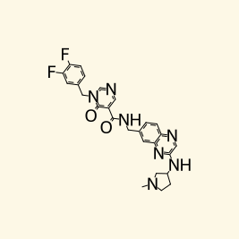 CN1CCC(Nc2cnc3ccc(CNC(=O)c4cncn(Cc5ccc(F)c(F)c5)c4=O)cc3n2)C1